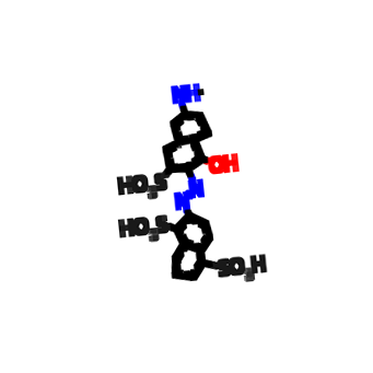 [NH]c1ccc2c(O)c(/N=N/c3ccc4c(S(=O)(=O)O)cccc4c3S(=O)(=O)O)c(S(=O)(=O)O)cc2c1